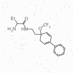 CCC(N)C(=O)NCCC1(OC(F)(F)F)C=CC(c2ccccc2)=CC1